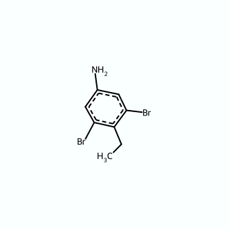 CCc1c(Br)cc(N)cc1Br